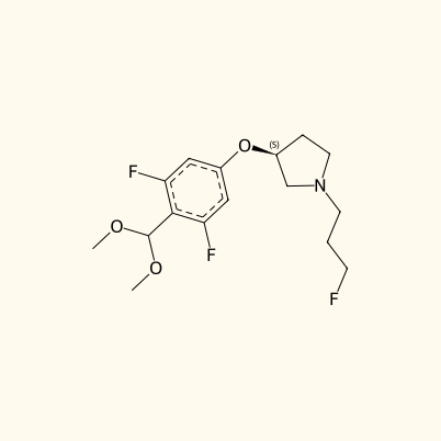 COC(OC)c1c(F)cc(O[C@H]2CCN(CCCF)C2)cc1F